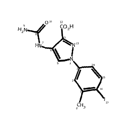 Cc1cc(-n2cc(NC(N)=O)c(C(=O)O)n2)ccc1I